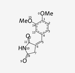 COc1ccc(C=C2CC(=O)NC2=O)cc1OC